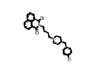 O=C1c2cccc3cccc(c23)C(=O)N1CCCCN1CCC(Cc2ccc(Cl)cc2)CC1